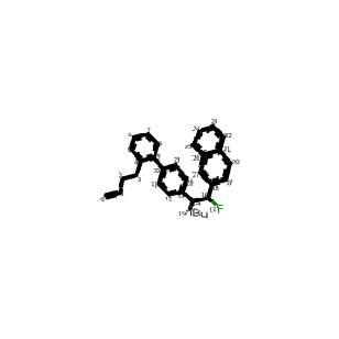 C=CCCc1ccccc1-c1ccc(C(CCCC)C(F)c2ccc3ccccc3c2)cc1